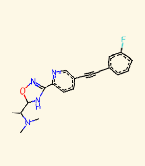 CC(C1NC(c2ccc(C#Cc3cccc(F)c3)cn2)=NO1)N(C)C